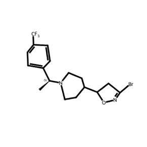 C[C@@H](c1ccc(C(F)(F)F)cc1)N1CCC(C2CC(Br)=NO2)CC1